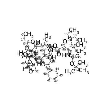 C=C[C@@H]1O[C@@H]2C3=C(C)[C@@H](OC(=O)[C@H](O[Si](CC)(CC)CC)[C@H](CC)NC(=O)OC(C)(C)C)C[C@@](O)([C@@H](OC(=O)c4ccccc4)[C@H]4[C@@](C)(CC[C@H]5OC[C@]54OC(C)=O)[C@@H]2O1)C3(C)C